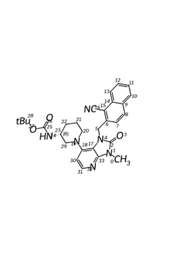 Cn1c(=O)n(Cc2ccc3ccccc3c2C#N)c2c(N3CCC[C@@H](NC(=O)OC(C)(C)C)C3)ccnc21